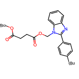 CC(C)(C)OC(=O)CCC(=O)OCn1c(-c2ccc(C(C)(C)C)cc2)nc2ccccc21